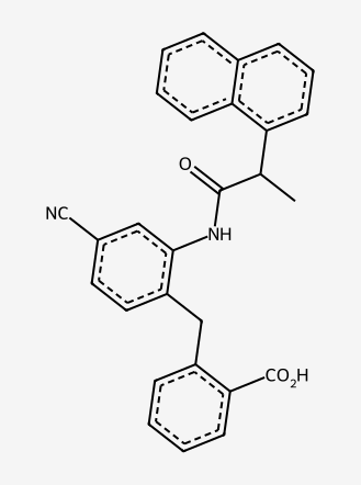 CC(C(=O)Nc1cc(C#N)ccc1Cc1ccccc1C(=O)O)c1cccc2ccccc12